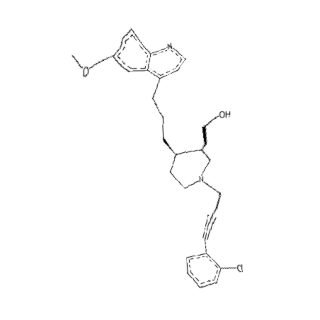 COc1ccc2nccc(CCC[C@@H]3CCN(CC#Cc4ccccc4Cl)C[C@@H]3CO)c2c1